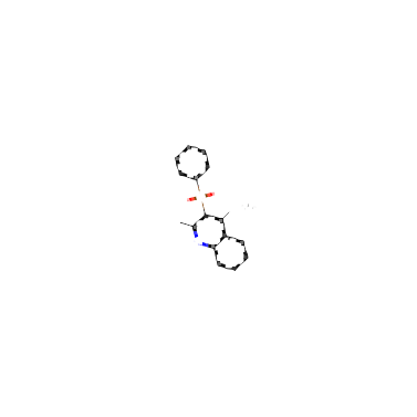 COc1c(S(=O)(=O)c2ccccc2)c(C)nc2ccccc12